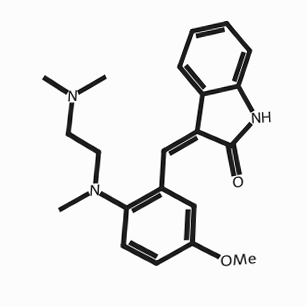 COc1ccc(N(C)CCN(C)C)c(C=C2C(=O)Nc3ccccc32)c1